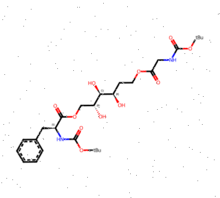 CC(C)(C)OC(=O)NCC(=O)OCC[C@@H](O)[C@H](O)[C@H](O)COC(=O)[C@H](Cc1ccccc1)NC(=O)OC(C)(C)C